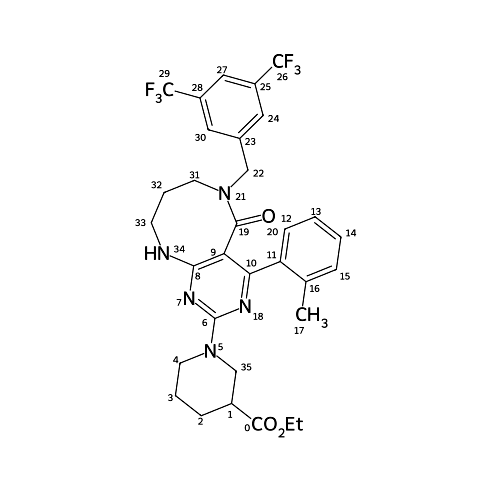 CCOC(=O)C1CCCN(c2nc3c(c(-c4ccccc4C)n2)C(=O)N(Cc2cc(C(F)(F)F)cc(C(F)(F)F)c2)CCCN3)C1